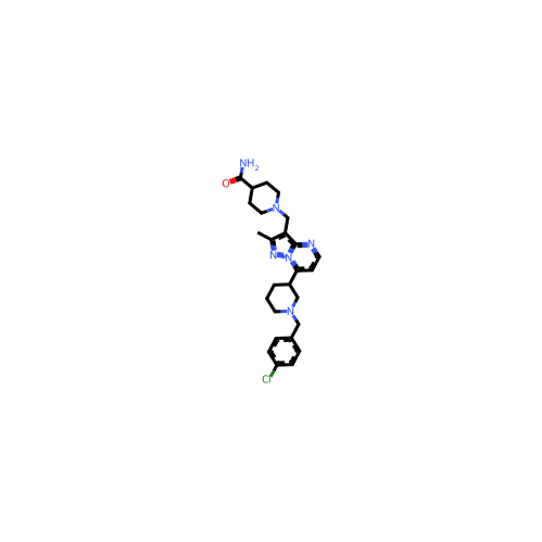 Cc1nn2c(C3CCCN(Cc4ccc(Cl)cc4)C3)ccnc2c1CN1CCC(C(N)=O)CC1